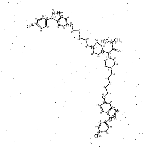 CN(C)C(=O)C(N1CCN(CCCCCOc2ccc3c(c2)nnn3-c2ccc(Cl)cc2)CC1)N1CCN(CCCCCOc2ccc3c(c2)nnn3-c2ccc(Cl)cc2)CC1